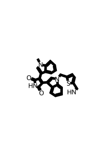 Cn1cc(C2=C(c3cn(Cc4ccc(C=N)s4)c4ccccc34)C(=O)NC2=O)c2ccccc21